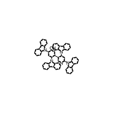 N#Cc1cc(-c2cnc(-n3c4ccccc4c4ccccc43)cc2-n2c3ccccc3c3ccccc32)c(-n2c3ccccc3c3ccccc32)cc1-n1c2ccccc2c2ccccc21